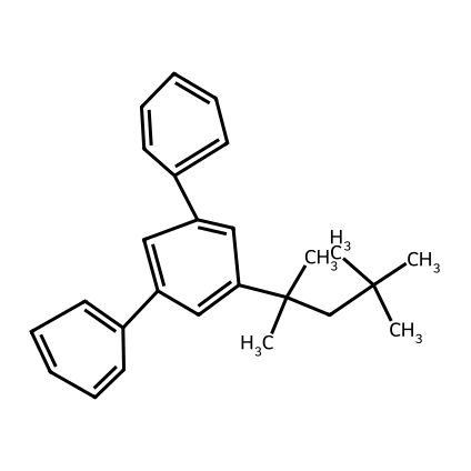 CC(C)(C)CC(C)(C)c1cc(-c2ccccc2)cc(-c2ccccc2)c1